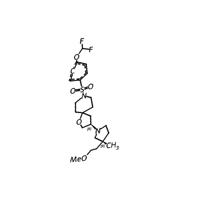 COCC[C@@]1(C)CCN([C@H]2COC3(CCN(S(=O)(=O)c4ccc(OC(F)F)cc4)CC3)C2)C1